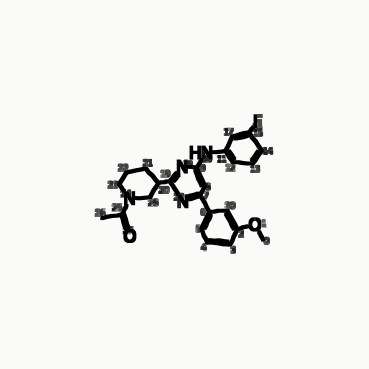 COc1cccc(-c2cc(Nc3cccc(F)c3)nc(C3CCCN(C(C)=O)C3)n2)c1